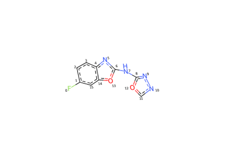 Fc1ccc2nc(Nc3nnco3)oc2c1